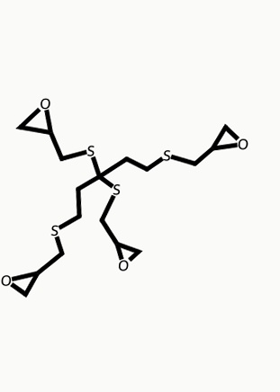 C(CC(CCSCC1CO1)(SCC1CO1)SCC1CO1)SCC1CO1